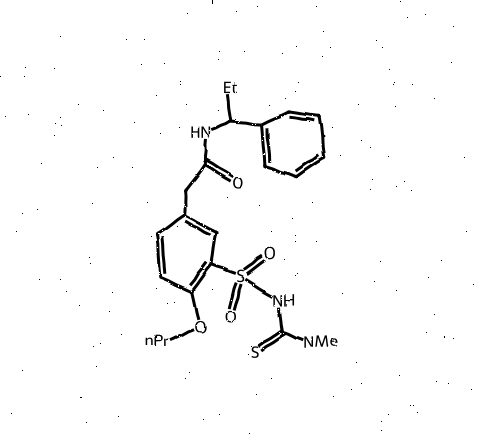 CCCOc1ccc(CC(=O)NC(CC)c2ccccc2)cc1S(=O)(=O)NC(=S)NC